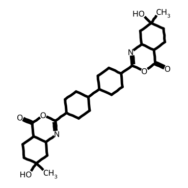 CC1(O)CCC2C(=O)OC(C3CCC(C4CCC(C5=NC6CC(C)(O)CCC6C(=O)O5)CC4)CC3)=NC2C1